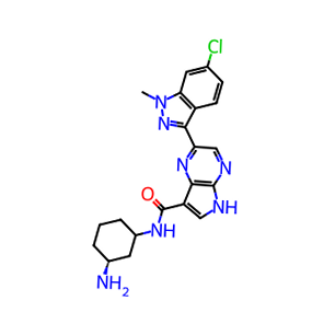 Cn1nc(-c2cnc3[nH]cc(C(=O)NC4CCC[C@H](N)C4)c3n2)c2ccc(Cl)cc21